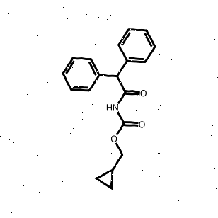 O=C(NC(=O)C(c1ccccc1)c1ccccc1)OCC1CC1